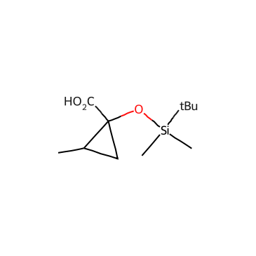 CC1CC1(O[Si](C)(C)C(C)(C)C)C(=O)O